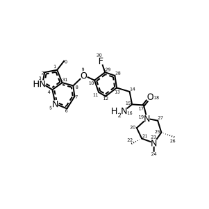 Cc1c[nH]c2nccc(Oc3ccc(CC(N)C(=O)N4C[C@@H](C)N(C)[C@@H](C)C4)cc3F)c12